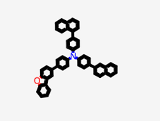 c1ccc2cc(-c3ccc(N(c4ccc(-c5ccc6oc7ccccc7c6c5)cc4)c4ccc(-c5cccc6ccccc56)cc4)cc3)ccc2c1